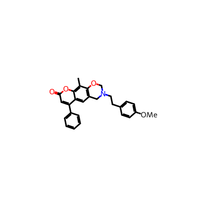 COc1ccc(CCN2COc3c(cc4c(-c5ccccc5)cc(=O)oc4c3C)C2)cc1